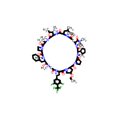 CCOC1CC2C(=O)NC3(CCCC3)C(=O)N(C)C(C3CCCC3)C(=O)N(C)C(C(=O)N(C)C)CC(=O)N(C)C(CC(C)C)C(=O)NC([C@@H](C)CC)C(=O)N(C)C(C)C(=O)N3CCC3C(=O)N(C)C(CC3CCCCC3)C(=O)N(C)CC(=O)NC(CCc3cc(F)c(C(F)(F)F)c(F)c3)C(=O)N2C1